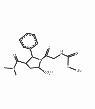 CN(C)C(=O)C1CC(C(=O)O)N(C(=O)CNC(=O)OC(C)(C)C)C1c1ccccc1